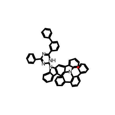 c1ccc(C2=NC(n3c4ccccc4c4cc5c(cc43)c3ccccc3n5-c3c(-c4ccccc4)cccc3-c3ccccc3)NC(c3cccc(-c4ccccc4)c3)=N2)cc1